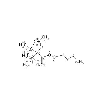 CCCCOOC(=O)C(CCC)(C(C)(C)C)C(C)(C)C